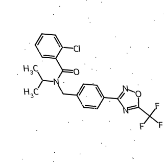 CC(C)N(Cc1ccc(-c2noc(C(F)(F)F)n2)cc1)C(=O)c1ccccc1Cl